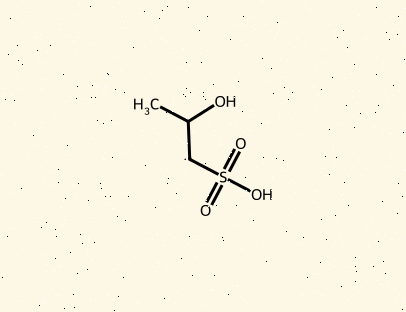 CC(O)[CH]S(=O)(=O)O